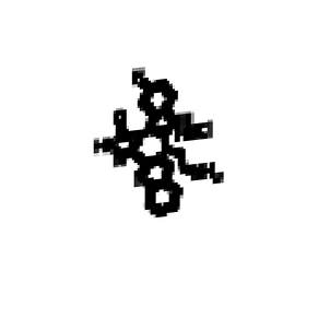 Cl.Cl.NCCCc1[nH]c2ccc(F)cc2c1-n1c(-c2ccc3ccccc3n2)n[nH]c1=O